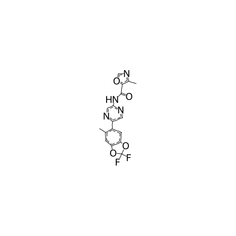 Cc1cc2c(cc1-c1cnc(NC(=O)c3ocnc3C)cn1)OC(F)(F)O2